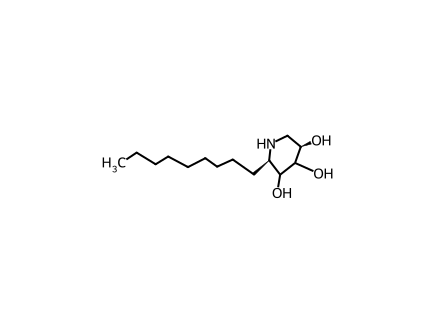 CCCCCCCCC[C@H]1NC[C@@H](O)C(O)C1O